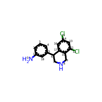 Nc1cccc(C2CNCc3c(Cl)cc(Cl)cc32)c1